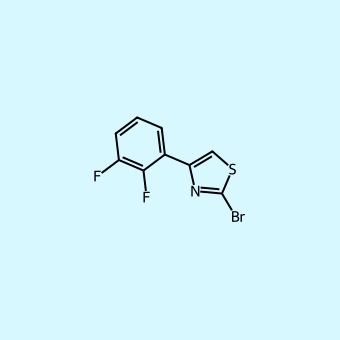 Fc1cccc(-c2csc(Br)n2)c1F